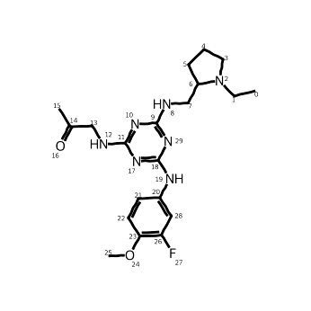 CCN1CCCC1CNc1nc(NCC(C)=O)nc(Nc2ccc(OC)c(F)c2)n1